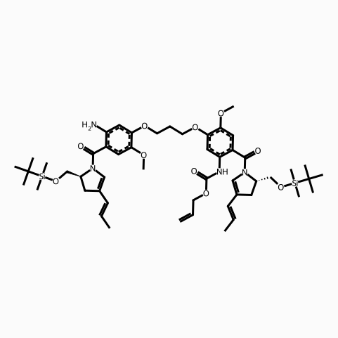 C=CCOC(=O)Nc1cc(OCCCOc2cc(N)c(C(=O)N3C=C(C=CC)C[C@H]3CO[Si](C)(C)C(C)(C)C)cc2OC)c(OC)cc1C(=O)N1C=C(C=CC)C[C@H]1CO[Si](C)(C)C(C)(C)C